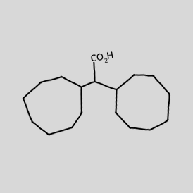 O=C(O)C(C1CCCCCCC1)C1CCCCCCC1